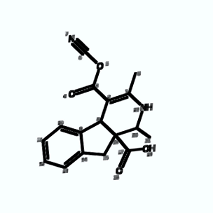 CC1=C(C(=O)OC#N)C2c3ccccc3CC2(C(=O)O)C(C)N1